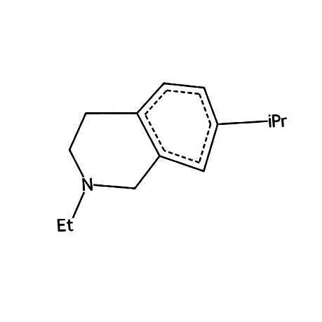 CCN1CCc2ccc(C(C)C)cc2C1